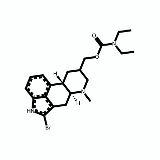 CCN(CC)C(=O)OCC1C[C@H]2c3cccc4[nH]c(Br)c(c34)C[C@@H]2N(C)C1